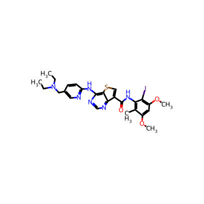 CCN(CC)Cc1ccc(Nc2ncnc3c(C(=O)Nc4c(C)c(OC)cc(OC)c4I)csc23)nc1